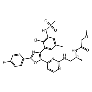 COCC(=O)N[C@@H](C)CNc1nccc(-c2oc(-c3ccc(F)cc3)nc2-c2cc(C)cc(NS(C)(=O)=O)c2Cl)n1